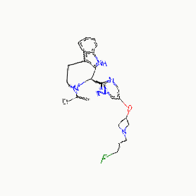 C=C(CC)N1CCc2c([nH]c3ccccc23)[C@H]1c1ncc(OC2CN(CCCF)C2)cn1